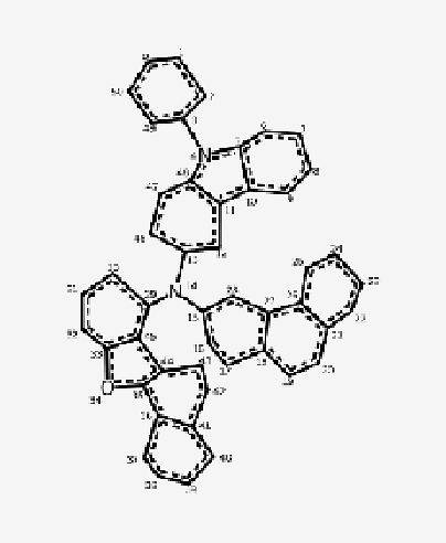 c1ccc(-n2c3ccccc3c3cc(N(c4ccc5ccc6ccccc6c5c4)c4cccc5oc6c7ccccc7ccc6c45)ccc32)cc1